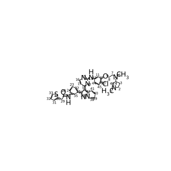 CN1CCC(N(C)CCOc2cc(Nc3nccc(-c4c(-c5cccc(NC(=O)Cc6cccs6)c5)nn5ccccc45)n3)ccc2Cl)C1